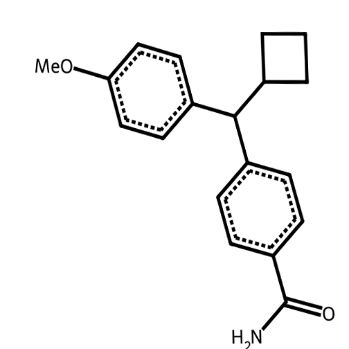 COc1ccc(C(c2ccc(C(N)=O)cc2)C2CCC2)cc1